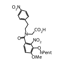 CCCCCOc1c(OC)ccc(C(=O)N(CCc2ccc([N+](=O)[O-])cc2)CC(=O)O)c1[N+](=O)[O-]